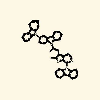 C/C(=C\c1c(C)oc2c(-n3c4ccccc4c4ccccc43)nccc12)n1c2ccccc2c2cc(-n3c4ccccc4c4ccccc43)ccc21